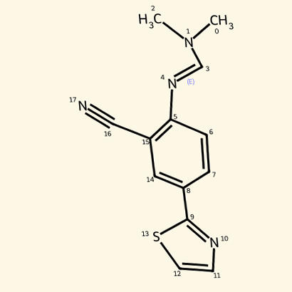 CN(C)/C=N/c1ccc(-c2nccs2)cc1C#N